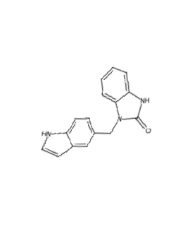 O=c1[nH]c2ccccc2n1Cc1ccc2[nH]ccc2c1